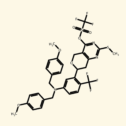 COc1ccc(CN(Cc2ccc(OC)cc2)c2ccc(C(F)(F)F)c(C3Cc4nc(SC)nc(OS(=O)(=O)C(F)(F)F)c4CO3)c2)cc1